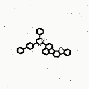 C1=CC2c3ccccc3OC2C2=C1c1cccc3c(-c4nc(-c5ccccc5)cc(-c5ccc(-c6ccccc6)cc5)n4)ccc2c13